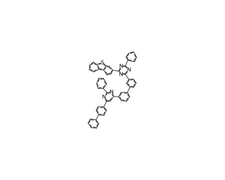 c1ccc(-c2ccc(-c3cc(-c4cccc(-c5cccc(-c6nc(-c7ccccc7)nc(-c7ccc8c(c7)sc7ccccc78)n6)c5)c4)nc(-c4ccccc4)n3)cc2)cc1